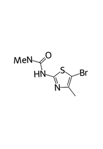 CNC(=O)Nc1nc(C)c(Br)s1